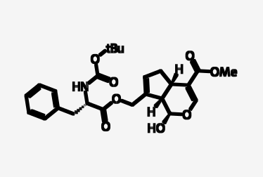 COC(=O)C1=CO[C@@H](O)[C@@H]2C(COC(=O)[C@H](Cc3ccccc3)NC(=O)OC(C)(C)C)=CC[C@H]12